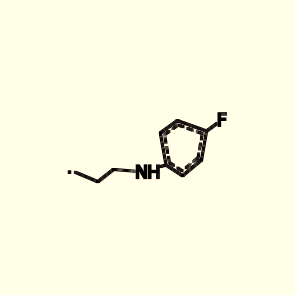 [CH2]CCNc1ccc(F)cc1